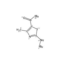 Cc1nc(NC(C)(C)C)sc1C(=O)C(C)(C)C